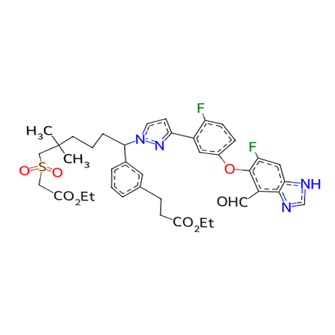 CCOC(=O)CCc1cccc(C(CCCC(C)(C)CS(=O)(=O)CC(=O)OCC)n2ccc(-c3cc(Oc4c(F)cc5[nH]cnc5c4C=O)ccc3F)n2)c1